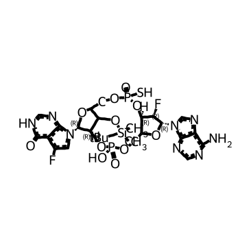 CC(C)(C)[Si](C)(C)OC1C2COP(=O)(S)O[C@@H]3C(COP(=O)(O)O[C@H]1[C@H](n1cc(F)c4c(=O)[nH]cnc41)O2)O[C@@H](n1cnc2c(N)ncnc21)[C@@H]3F